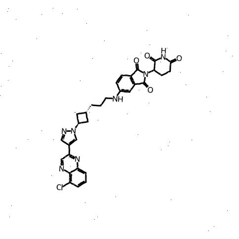 O=C1CCC(N2C(=O)c3ccc(NCCC[C@H]4C[C@H](n5cc(-c6cnc7c(Cl)cccc7n6)cn5)C4)cc3C2=O)C(=O)N1